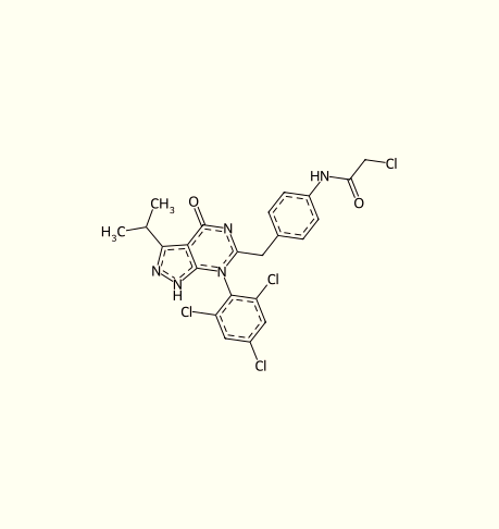 CC(C)c1n[nH]c2c1c(=O)nc(Cc1ccc(NC(=O)CCl)cc1)n2-c1c(Cl)cc(Cl)cc1Cl